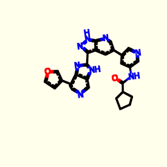 O=C(Nc1cncc(-c2cnc3[nH]nc(-c4nc5c(-c6ccoc6)cncc5[nH]4)c3c2)c1)C1CCCC1